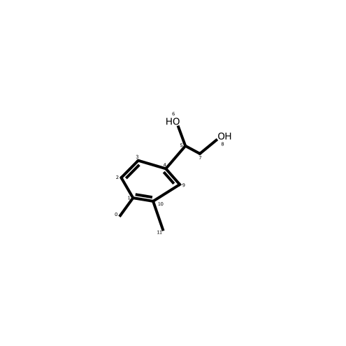 Cc1ccc(C(O)CO)cc1C